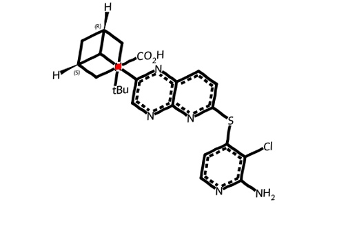 CC(C)(C)N(C(=O)O)C1[C@@H]2C[C@H]1CN(c1cnc3nc(Sc4ccnc(N)c4Cl)ccc3n1)C2